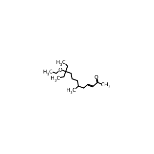 CCOC(CC)(CC)CCCC(C)C/C=C/C(C)=O